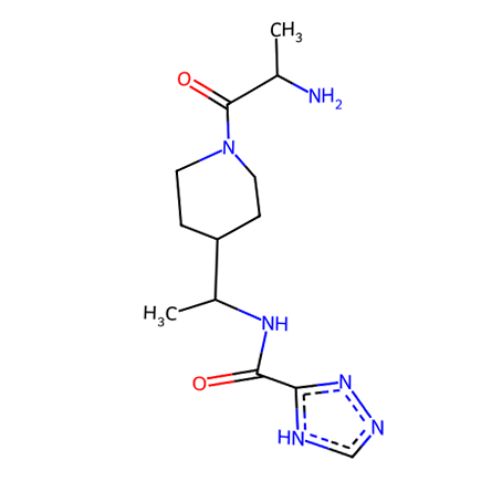 CC(N)C(=O)N1CCC(C(C)NC(=O)c2nnc[nH]2)CC1